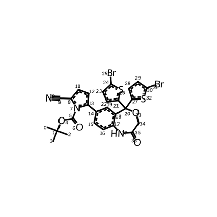 CC(C)(C)OC(=O)n1c(C#N)ccc1-c1ccc2c(c1)C(c1ccc(Br)s1)(c1ccc(Br)s1)OCC(=O)N2